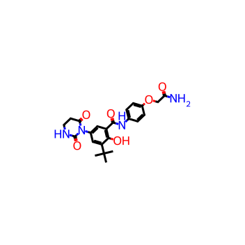 CC(C)(C)c1cc(N2C(=O)CCNC2=O)cc(C(=O)Nc2ccc(OCC(N)=O)cc2)c1O